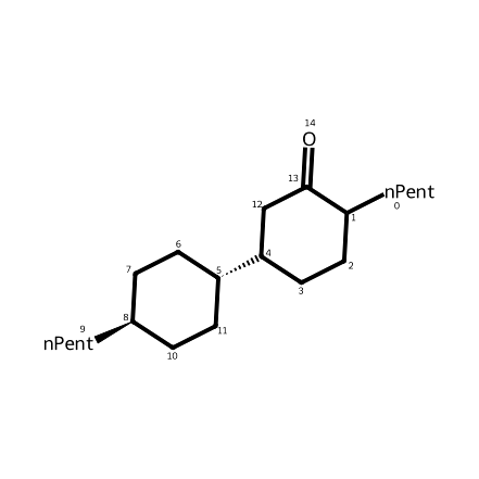 CCCCCC1CCC([C@H]2CC[C@H](CCCCC)CC2)CC1=O